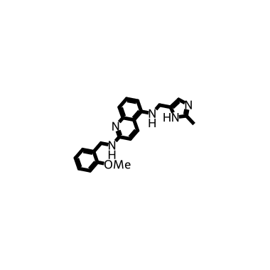 COc1ccccc1CNc1ccc2c(NCc3cnc(C)[nH]3)cccc2n1